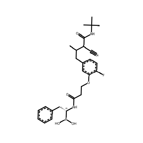 CC(Cc1ccc(F)c(OCCC(=O)N[C@@H](Cc2ccccc2)B(O)O)c1)C(C#N)C(=O)NC(C)(C)C